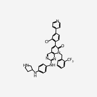 O=c1c(-c2ccc(-c3ccncc3)cc2Cl)cc2cnc(Nc3ccc(NC4CCNC4)cc3)nc2n1Cc1ccccc1C(F)(F)F